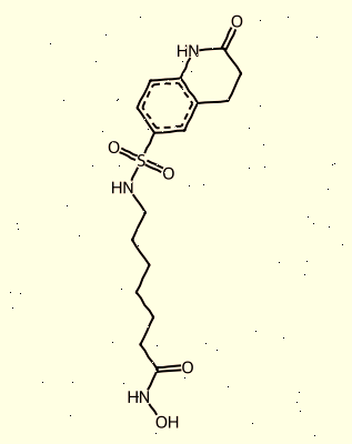 O=C(CCCCCCNS(=O)(=O)c1ccc2c(c1)CCC(=O)N2)NO